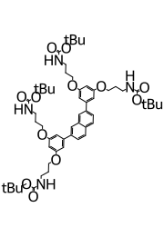 CC(C)(C)OC(=O)NCCCOc1cc(OCCCNC(=O)OC(C)(C)C)cc(-c2ccc3ccc(-c4cc(OCCCNC(=O)OC(C)(C)C)cc(OCCCNC(=O)OC(C)(C)C)c4)cc3c2)c1